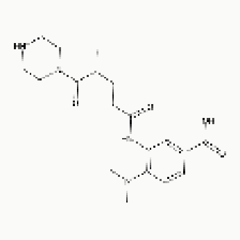 CC(CCC(=O)Nc1cc(C(=O)O)ccc1N(C)C)C(=O)N1CCNCC1